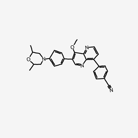 COc1c(-c2ccc(N3CC(C)OC(C)C3)cc2)cnc2c(-c3ccc(C#N)cc3)ccnc12